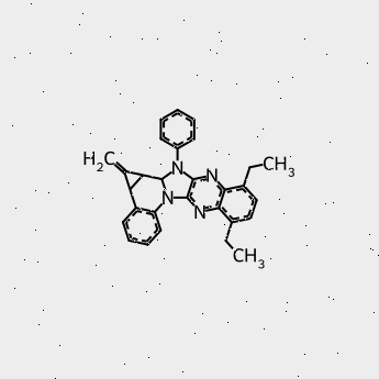 C=C1C2c3ccccc3N3c4nc5c(CC)ccc(CC)c5nc4N(c4ccccc4)C3C12